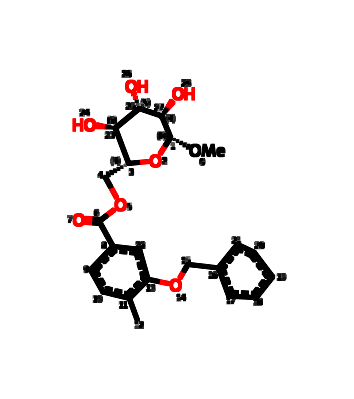 CO[C@@H]1O[C@H](COC(=O)c2ccc(C)c(OCc3ccccc3)c2)[C@@H](O)[C@H](O)[C@H]1O